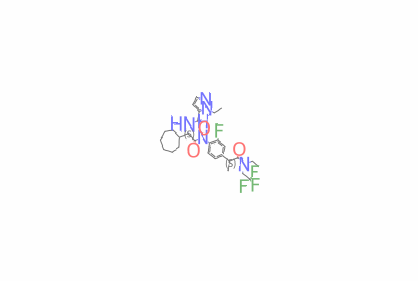 CCN(CC(F)(F)F)C(=O)[C@@H](C)c1ccc(NC(=O)[C@@H](NC(=O)c2ccnn2CC)C2CCCCCC2)c(F)c1